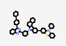 c1ccc(-c2ccc(-c3nc(-c4cccc(-n5c6ccc(-c7ccc8c(c7)Sc7ccccc7N8c7ccccc7)cc6c6c7ccccc7ccc65)c4)nc4ccccc34)cc2)cc1